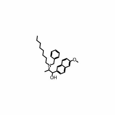 CCCCCCCCN(Cc1ccccc1)C(C)C(O)c1ccc2cc(OC)ccc2c1